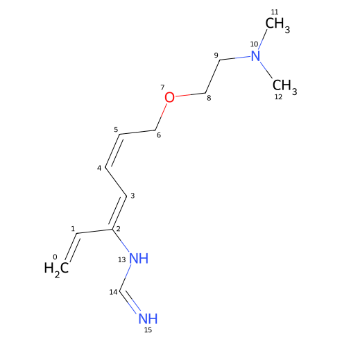 C=C/C(=C\C=C/COCCN(C)C)NC=N